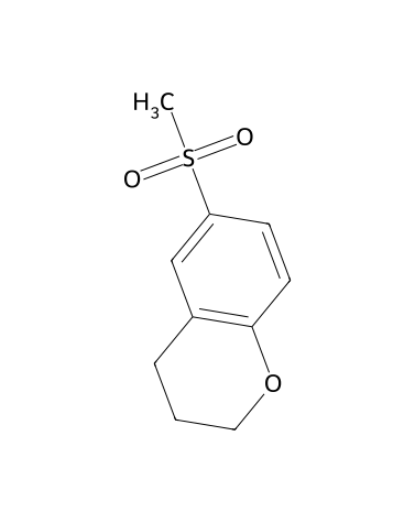 CS(=O)(=O)c1ccc2c(c1)CCCO2